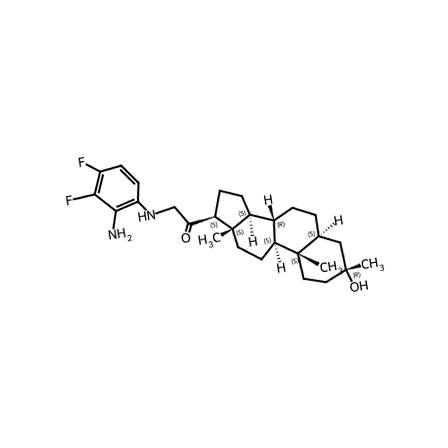 C[C@@]1(O)CC[C@@]2(C)[C@@H](CC[C@@H]3[C@@H]2CC[C@]2(C)[C@@H](C(=O)CNc4ccc(F)c(F)c4N)CC[C@@H]32)C1